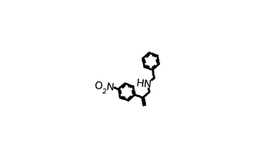 C=C(CNCc1ccccc1)c1ccc([N+](=O)[O-])cc1